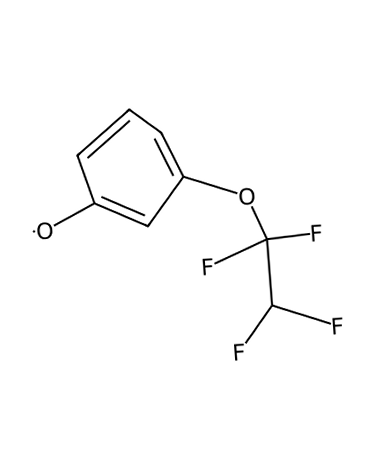 [O]c1cccc(OC(F)(F)C(F)F)c1